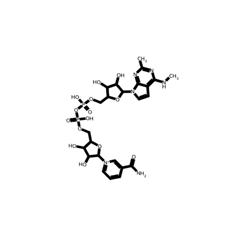 CNc1nc(C)nc2c1ccn2C1OC(COP(=O)(O)OP(=O)(O)OCC2OC([n+]3cccc(C(N)=O)c3)C(O)C2O)C(O)C1O